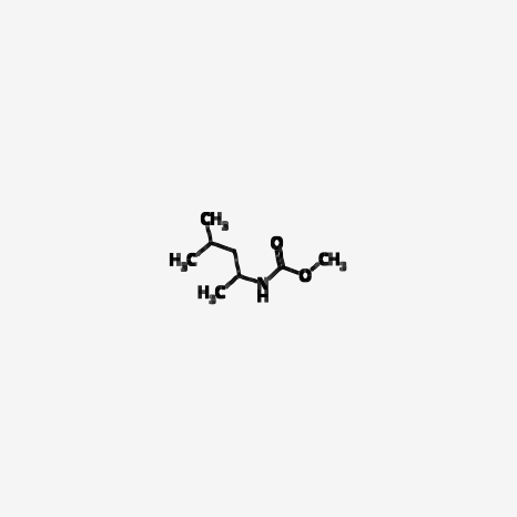 COC(=O)NC(C)CC(C)C